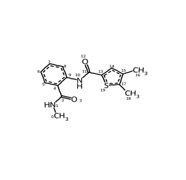 CNC(=O)c1ccccc1NC(=O)c1cc(C)c(C)s1